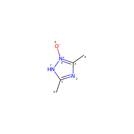 Cc1nc(C)[n+]([O-])[nH]1